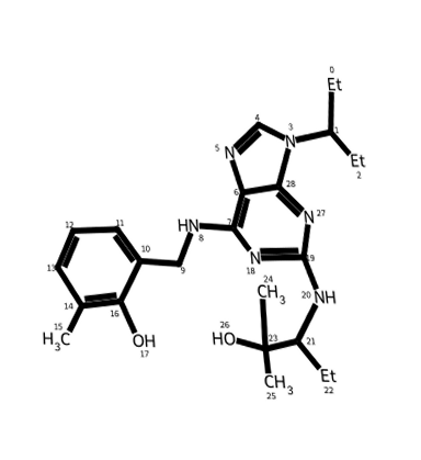 CCC(CC)n1cnc2c(NCc3cccc(C)c3O)nc(NC(CC)C(C)(C)O)nc21